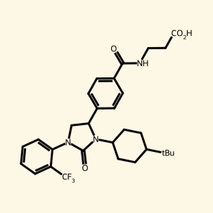 CC(C)(C)C1CCC(N2C(=O)N(c3ccccc3C(F)(F)F)CC2c2ccc(C(=O)NCCC(=O)O)cc2)CC1